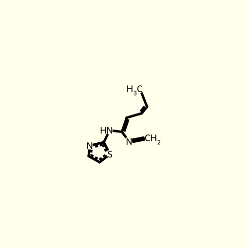 C=N/C(=C\C=C/C)Nc1nccs1